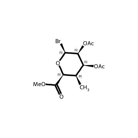 COC(=O)[C@H]1O[C@@H](Br)[C@@H](OC(C)=O)[C@@H](OC(C)=O)[C@H]1C